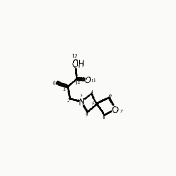 C=C(CN1CC2(COC2)C1)C(=O)O